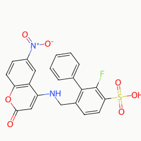 O=c1cc(NCc2ccc(S(=O)(=O)O)c(F)c2-c2ccccc2)c2cc([N+](=O)[O-])ccc2o1